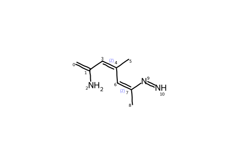 C=C(N)/C=C(C)\C=C(\C)N=N